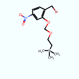 C[Si](C)(C)CCOCOc1cc([N+](=O)[O-])ccc1CBr